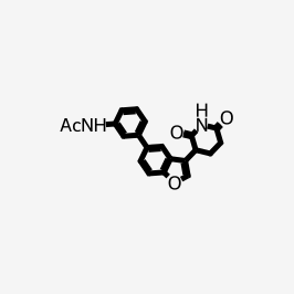 CC(=O)Nc1cccc(-c2ccc3occ(C4CCC(=O)NC4=O)c3c2)c1